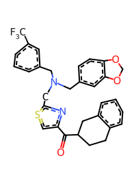 O=C(c1csc(CN(Cc2cccc(C(F)(F)F)c2)Cc2ccc3c(c2)OCO3)n1)C1CCc2ccccc2C1